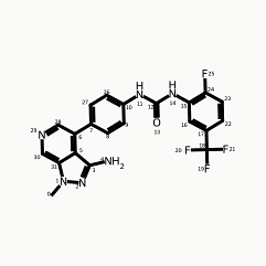 Cn1nc(N)c2c(-c3ccc(NC(=O)Nc4cc(C(F)(F)F)ccc4F)cc3)cncc21